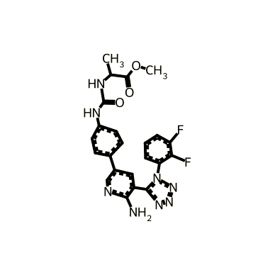 COC(=O)C(C)NC(=O)Nc1ccc(-c2cnc(N)c(-c3nnnn3-c3cccc(F)c3F)c2)cc1